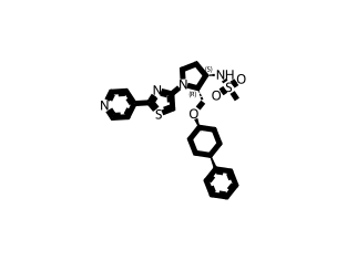 CS(=O)(=O)N[C@H]1CCN(c2csc(-c3ccncc3)n2)[C@H]1CO[C@H]1CC[C@@H](c2ccccc2)CC1